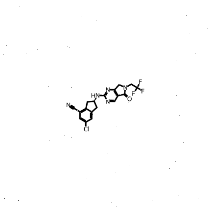 N#Cc1cc(Cl)cc2c1C[C@@H](Nc1ncc3c(n1)CN(CC(F)(F)F)C3=O)C2